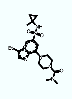 CCc1cnc2c(N3CCN(C(=O)N(C)C)CC3)cc(S(=O)(=O)NC3(C)CC3)cn12